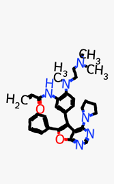 C=CC(=O)Nc1cc(-c2c(-c3ccccc3)oc3ncnc(N4CCCC4)c23)ccc1N(C)CCN(C)C